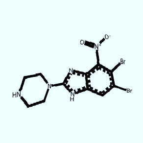 O=[N+]([O-])c1c(Br)c(Br)cc2[nH]c(N3CCNCC3)nc12